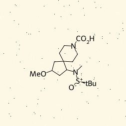 COC1CC(N(C)[S@+]([O-])C(C)(C)C)C2(CCN(C(=O)O)CC2)C1